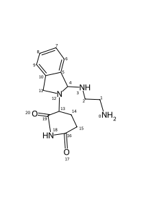 NCCNC1c2ccccc2CN1C1CCC(=O)NC1=O